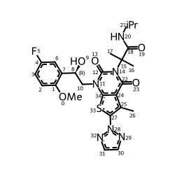 COc1ccc(F)cc1[C@@H](O)Cn1c(=O)n(C(C)(C)C(=O)NC(C)C)c(=O)c2c(C)c(-n3nccn3)sc21